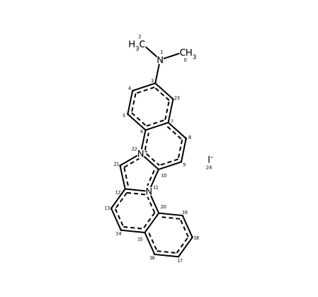 CN(C)c1ccc2c(ccc3n4c(ccc5ccccc54)c[n+]23)c1.[I-]